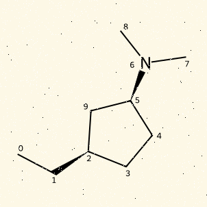 CC[C@@H]1CC[C@H](N(C)C)C1